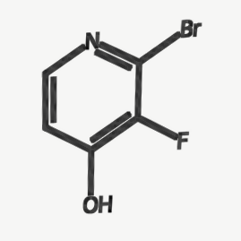 Oc1ccnc(Br)c1F